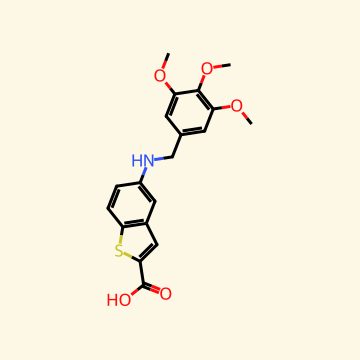 COc1cc(CNc2ccc3sc(C(=O)O)cc3c2)cc(OC)c1OC